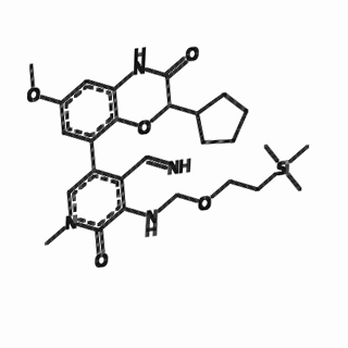 COc1cc2c(c(-c3cn(C)c(=O)c(NCOCC[Si](C)(C)C)c3C=N)c1)OC(C1CCCC1)C(=O)N2